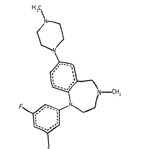 CN1CCN(c2ccc3c(c2)CN(C)CCN3c2cc(F)cc(F)c2)CC1